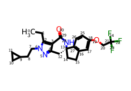 CCc1c2c(nn1CCC1CC1)C[C@]1(CCc3cc(OCC(F)(F)F)ccc31)NC2=O